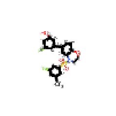 O=S(=O)(c1cc(F)cc(C(F)(F)F)c1)N1CCOc2ccc(-c3cc(O)cc(F)c3)cc21